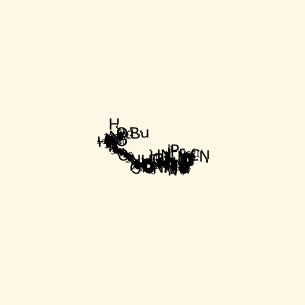 CC(C)Nc1cc(-n2ccc3cc(C#N)cnc32)ncc1C(=O)NC1CCC(C(=O)NCCOCCN2C[C@H]3C[C@@]3(NC(=O)OC(C)(C)C)C2)CC1